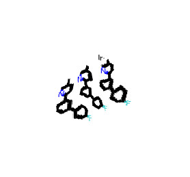 Cc1ccc(-c2cccc(-c3ccc(F)cc3)c2)nc1.Cc1ccc(-c2cccc(-c3ccc(F)cc3)c2)nc1.Cc1ccc(-c2cccc(-c3ccc(F)cc3)c2)nc1.[Ir]